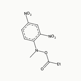 CCC(=O)ON(C)c1ccc([N+](=O)[O-])cc1[N+](=O)[O-]